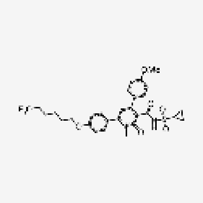 COc1ccc(-c2cc(-c3ccc(OCCCCCC(F)(F)F)cc3)[nH]c(=O)c2C(=O)NS(=O)(=O)C2CC2)cc1